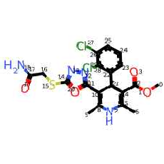 COC(=O)C1=C(C)NC(C)=C(c2nnc(SCC(N)=O)o2)C1c1cccc(Cl)c1Cl